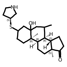 CC1CC2(O)CC(S[C@H]3CCNC3)CC[C@]2(C)[C@@H]2CC[C@]3(C)C(=O)CC[C@H]3[C@H]12